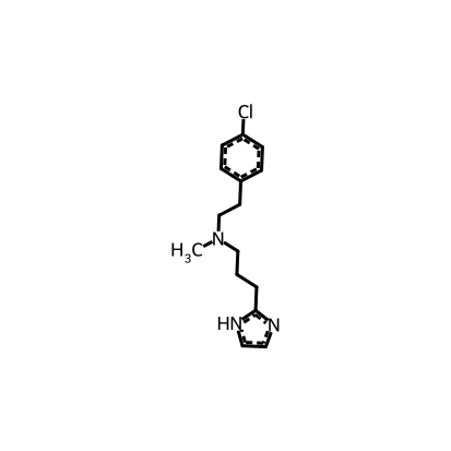 CN(CCCc1ncc[nH]1)CCc1ccc(Cl)cc1